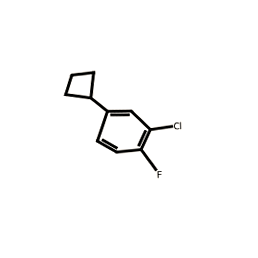 Fc1ccc(C2CCC2)cc1Cl